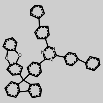 c1ccc(-c2ccc(-c3nc(-c4ccc(-c5ccccc5)cc4)nc(-c4ccc(C5(c6ccc7c(c6)Oc6ccccc6O7)c6ccccc6-c6ccccc65)cc4)n3)cc2)cc1